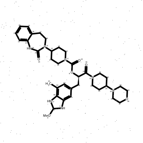 COC1Nc2cc(C[C@@H](OC(=O)N3CCC(N4CCc5ccccc5NC4=O)CC3)C(=O)N3CCC(N4CCOCC4)CC3)cc(C)c2N1